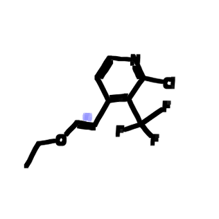 CCO/C=C/c1ccnc(Cl)c1C(F)(F)F